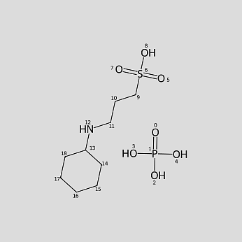 O=P(O)(O)O.O=S(=O)(O)CCCNC1CCCCC1